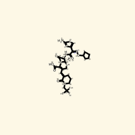 Nc1nc(/C(=N/OC2CCCC2)C(=O)N[C@@H]2C(=O)N3C(C(=O)O)=C(C=C4CCCN(CC(F)(F)F)C4=O)CS[C@H]23)cs1